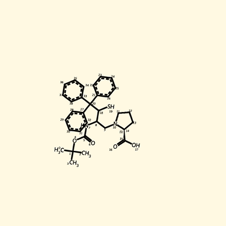 CC(C)(C)OC(=O)NC(CN1CCC[C@H]1C(=O)O)C(S)C(c1ccccc1)(c1ccccc1)c1ccccc1